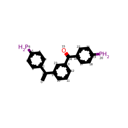 C=C(c1ccc(P)cc1)c1cccc(C(=O)c2ccc(P)cc2)c1